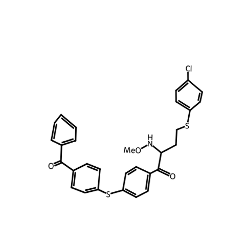 CONC(CCSc1ccc(Cl)cc1)C(=O)c1ccc(Sc2ccc(C(=O)c3ccccc3)cc2)cc1